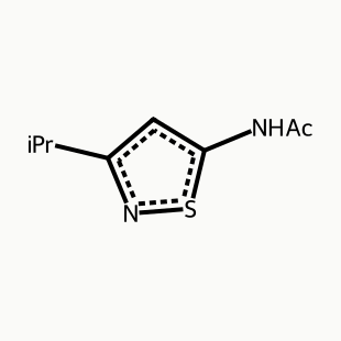 CC(=O)Nc1cc(C(C)C)ns1